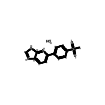 CS(=O)(=O)c1ccc(-c2ccc3ncsc3n2)cc1.Cl